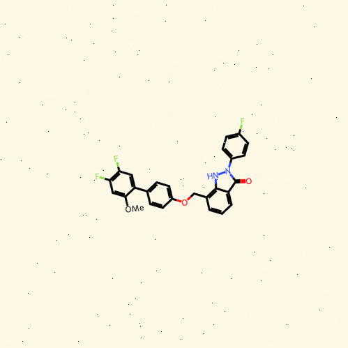 COc1cc(F)c(F)cc1-c1ccc(OCc2cccc3c(=O)n(-c4ccc(F)cc4)[nH]c23)cc1